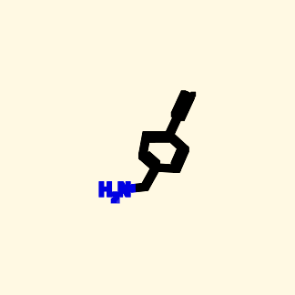 [C]#Cc1ccc(CN)cc1